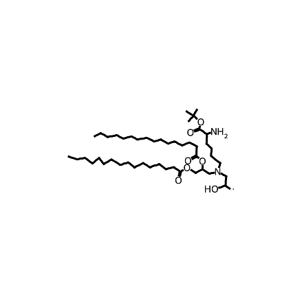 [CH2]C(O)CN(CCCCC(N)C(=O)OC(C)(C)C)CC(COC(=O)CCCCCCCCCCCCCCC)OC(=O)CCCCCCCCCCCCCCC